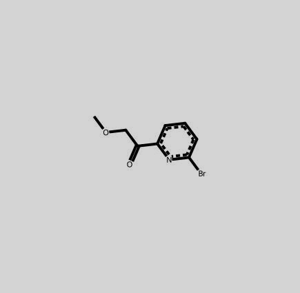 COCC(=O)c1cccc(Br)n1